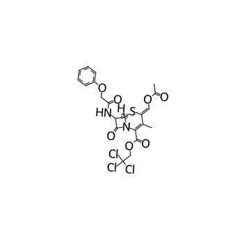 CC(=O)OC=C1S[C@H]2C(NC(=O)COc3ccccc3)C(=O)N2C(C(=O)OCC(Cl)(Cl)Cl)=C1C